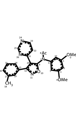 COc1cc(OC)cc(N(C(C)=O)c2onc(-c3cccc(C)c3)c2-c2ccncn2)c1